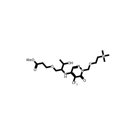 COC(=O)CCOCC(Nc1cnn(COCC[Si](C)(C)C)c(=O)c1C(F)(F)F)C(C)O